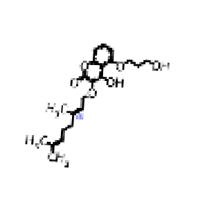 CC(C)=CCC/C(C)=C/COc1c(O)c2c(OCCCO)cccc2oc1=O